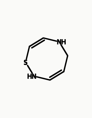 C1=C\NS/C=C\NC/1